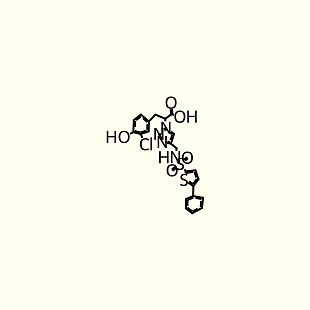 O=C(O)C(Cc1ccc(O)c(Cl)c1)n1cc(CNS(=O)(=O)c2ccc(-c3ccccc3)s2)nn1